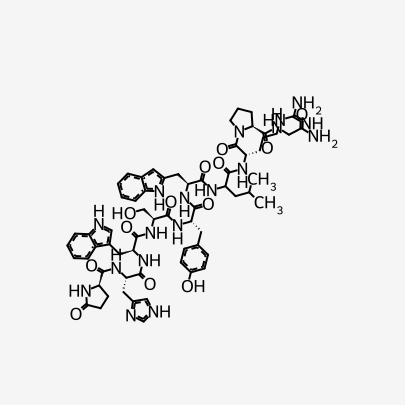 CC(C)CC(NC(=O)[C@H](Cc1cc2ccccc2[nH]1)NC(=O)[C@H](Cc1ccc(O)cc1)NC(=O)[C@H](CO)NC(=O)[C@H](Cc1c[nH]c2ccccc12)NC(=O)[C@H](Cc1c[nH]cn1)NC(=O)[C@H]1CCC(=O)N1)C(=O)N[C@@H](CCCNC(=N)N)C(=O)N1CCC[C@H]1C(=O)NCC(N)=O